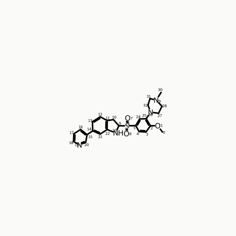 COc1ccc(S(=O)(=O)C2Cc3ccc(-c4cccnc4)cc3N2)cc1N1CCN(C)CC1